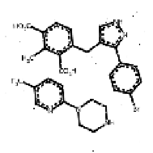 Cc1c(C(=O)O)ccc(Cc2c[nH]nc2-c2ccc(Br)cc2)c1C(=O)O.FC(F)(F)c1ccc(N2CCNCC2)nc1